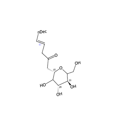 CCCCCCCCCC/C=C/CC(=O)C[C@@H]1OC(CO)[C@@H](O)[C@H](O)C1O